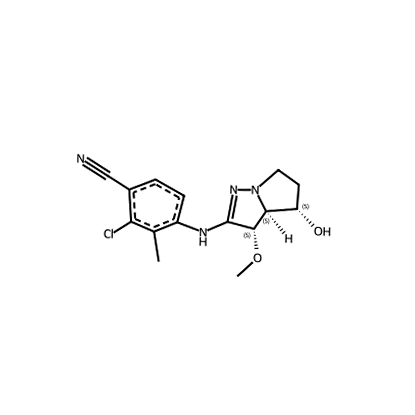 CO[C@@H]1C(Nc2ccc(C#N)c(Cl)c2C)=NN2CC[C@H](O)[C@@H]12